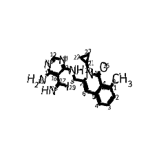 Cc1cccc2cc(CNc3ncnc(N)c3C(=N)I)n(C3CC3)c(=O)c12